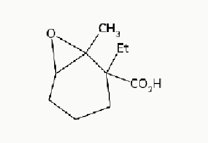 CCC1(C(=O)O)CCCC2OC21C